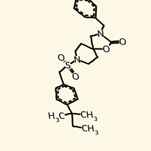 CCC(C)(C)c1ccc(CS(=O)(=O)N2CCC3(CC2)CN(Cc2ccccc2)C(=O)O3)cc1